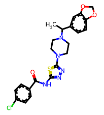 CC(c1ccc2c(c1)OCO2)N1CCN(c2nnc(NC(=O)c3ccc(Cl)cc3)s2)CC1